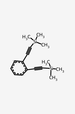 C[Si](C)(C)C#Cc1[c]cc[c]c1C#C[Si](C)(C)C